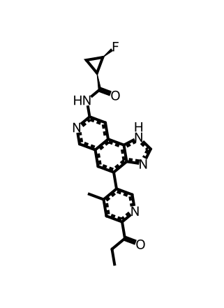 CCC(=O)c1cc(C)c(-c2cc3cnc(NC(=O)[C@H]4C[C@H]4F)cc3c3[nH]cnc23)cn1